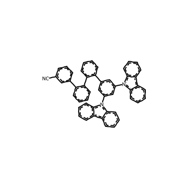 N#Cc1cccc(-c2ccccc2-c2ccccc2-c2cc(-n3c4ccccc4c4ccccc43)cc(-n3c4ccccc4c4ccccc43)c2)c1